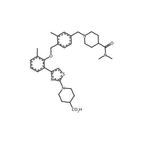 Cc1cc(CN2CCC(C(=O)N(C)C)CC2)ccc1COc1c(C)cccc1-c1csc(N2CCC(C(=O)O)CC2)n1